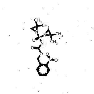 CC1(C)CN1P(=O)(NC(=O)OCc1ccccc1[N+](=O)[O-])N1CC1(C)C